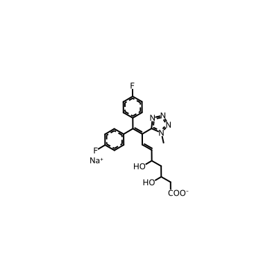 Cn1nnnc1C(/C=C/C(O)CC(O)CC(=O)[O-])=C(c1ccc(F)cc1)c1ccc(F)cc1.[Na+]